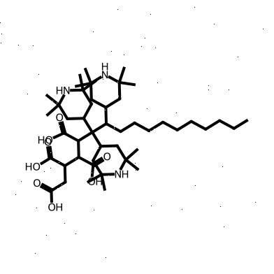 CCCCCCCCCCC(C1CC(C)(C)NC(C)(C)C1)C(C1CC(C)(C)NC(C)(C)C1)(C1CC(C)(C)NC(C)(C)C1)C(C(=O)O)C(C(=O)O)C(CC(=O)O)C(=O)O